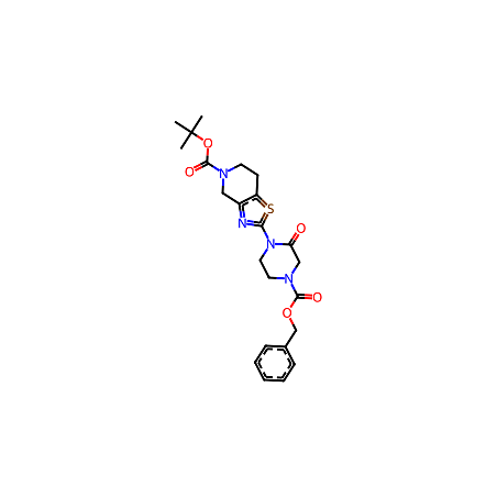 CC(C)(C)OC(=O)N1CCc2sc(N3CCN(C(=O)OCc4ccccc4)CC3=O)nc2C1